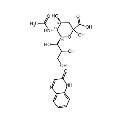 CC(=O)N[C@@H]1[C@@H](O)CC(O)(C(=O)O)O[C@H]1C(O)C(O)CO.O=c1cnc2ccccc2[nH]1